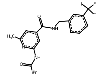 Cc1cc(C(=O)NCc2cccc(C(F)(F)I)c2)cc(NC(=O)C(C)C)n1